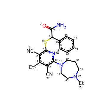 CCc1c(C#N)c(SC(C(N)=O)c2ccccc2)nc(N2CCCN(CC)CC2)c1C#N